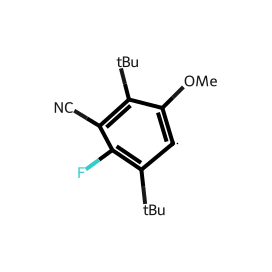 COc1[c]c(C(C)(C)C)c(F)c(C#N)c1C(C)(C)C